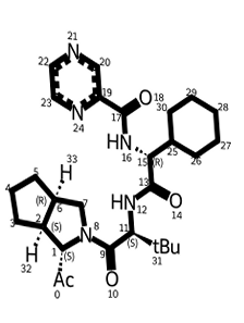 CC(=O)[C@@H]1[C@H]2CCC[C@H]2CN1C(=O)[C@@H](NC(=O)[C@H](NC(=O)c1cnccn1)C1CCCCC1)C(C)(C)C